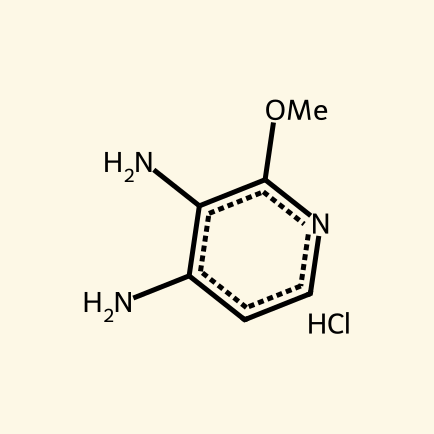 COc1nccc(N)c1N.Cl